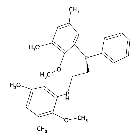 COc1c(C)cc(C)cc1PCC[P@](c1ccccc1)c1cc(C)cc(C)c1OC